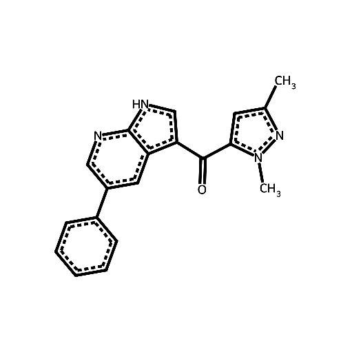 Cc1cc(C(=O)c2c[nH]c3ncc(-c4ccccc4)cc23)n(C)n1